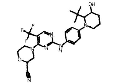 CC(C)(C)C1C(O)CCCN1c1ccc(Nc2ncc(C(F)(F)F)c(N3CCOC(C#N)C3)n2)cc1